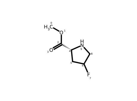 COC(=O)[C@H]1CC(F)CN1